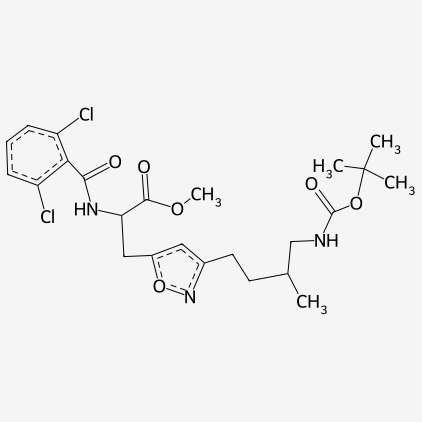 COC(=O)C(Cc1cc(CCC(C)CNC(=O)OC(C)(C)C)no1)NC(=O)c1c(Cl)cccc1Cl